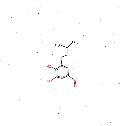 CC(C)=CCc1cc(C=O)cc(O)c1O